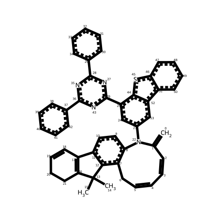 C=C1/C=C\C=C/Cc2c(ccc3c2C(C)(C)C2=C3C=CCC2)N1c1cc(-c2nc(-c3ccccc3)nc(-c3ccccc3)n2)c2sc3ccccc3c2c1